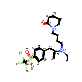 CCN(CCCCN1CCCCC1=O)C(C)Cc1ccc(S(=O)(=O)C(F)(F)F)cc1